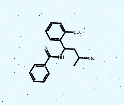 CC(CC(NC(=O)c1ccccc1)c1ccccc1C(=O)O)C(C)(C)C